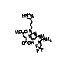 NC(=NCC(F)(F)F)Nc1ccnc(SCCCc2c[nH]cn2)n1.O=C(O)C=CC(=O)O